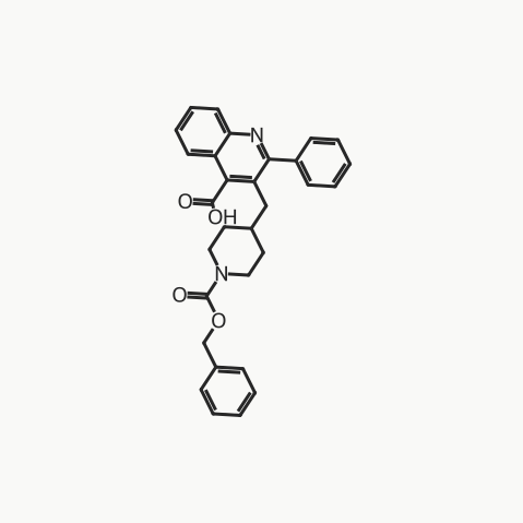 O=C(O)c1c(CC2CCN(C(=O)OCc3ccccc3)CC2)c(-c2ccccc2)nc2ccccc12